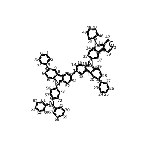 c1ccc(-c2ccc3c(c2)c2cc(-c4ccc5c(c4)c4cc(-c6ccccc6)ccc4n5-c4ccc5c(c4)c4ccccc4n5-c4ccccc4)ccc2n3-c2ccc(N(c3ccccc3)c3ccccc3)cc2)cc1